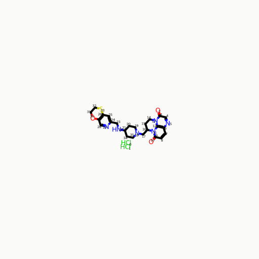 Cl.Cl.O=c1cnc2ccc(=O)n3c2n1CCC3CN1CCC(NCc2cc3c(cn2)OCCS3)CC1